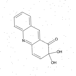 O=C1c2cc3ccccc3nc2C=CC1(O)O